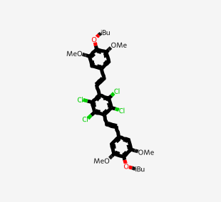 CCC(C)Oc1c(OC)cc(C=Cc2c(Cl)c(Cl)c(C=Cc3cc(OC)c(OC(C)CC)c(OC)c3)c(Cl)c2Cl)cc1OC